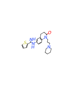 N=C(Nc1ccc2c(c1)CCC(=O)N2CCCN1CCCCC1)c1cccs1